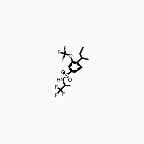 CCC(C)c1ccc(S(=O)(=O)N[C@@H](C)C(F)(F)F)cc1OC(F)(F)F